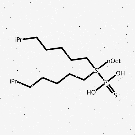 CCCCCCCCS(CCCCCC(C)C)(CCCCCC(C)C)P(O)(O)=S